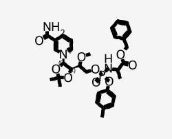 COC(COP(=O)(NC(C)C(=O)OCc1ccccc1)Oc1ccc(C)cc1)[C@H]1OC(C)(C)O[C@H]1[n+]1cccc(C(N)=O)c1